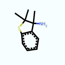 CC1(C)Sc2ccccc2C1(C)N